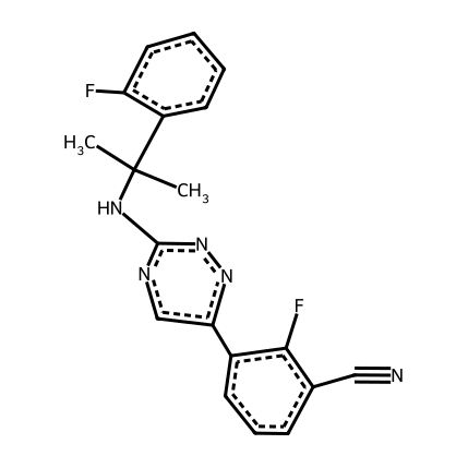 CC(C)(Nc1ncc(-c2cccc(C#N)c2F)nn1)c1ccccc1F